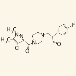 Cc1c(Cl)c(C(=O)N2CCN(CC(C=O)c3ccc(F)cc3)CC2)nn1C